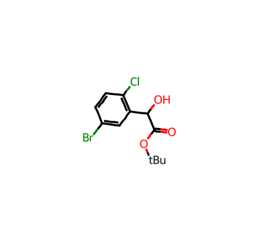 CC(C)(C)OC(=O)C(O)c1cc(Br)ccc1Cl